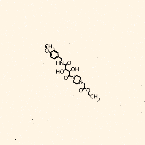 CCOC(=O)CN1CCN(C(=O)[C@H](O)[C@@H](O)C(=O)NCc2ccc(OC)cc2)CC1